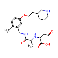 Cc1ccc(OCCC2CCCNC2)cc1CNC(=O)[C@H](C)NC(CC=O)C(=O)O